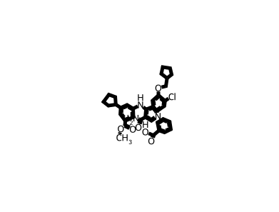 COC(=O)c1cc(Nc2c(C(N)=O)cnc3cc(Cl)c(OCC4CCCC4)cc23)cc(C2CCCC2)c1.O=C(O)c1ccccc1